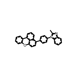 Cc1nc2ccccc2n1-c1ccc(-c2ccc3c4c(cccc24)-c2ccccc2O3)cc1